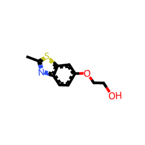 Cc1nc2ccc(OCCO)cc2s1